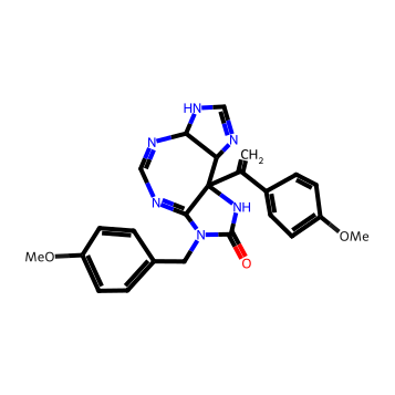 C=C(c1ccc(OC)cc1)C12NC(=O)N(Cc3ccc(OC)cc3)C1=NC=NC1NC=NC12